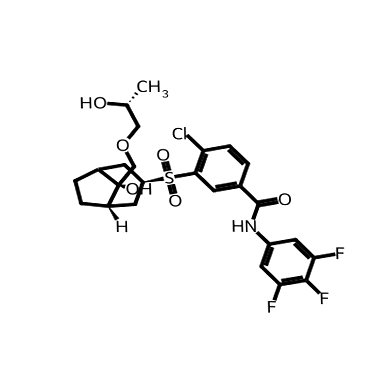 C[C@@H](O)COC[C@@]1(O)C2CC[C@H]1C[C@H](S(=O)(=O)c1cc(C(=O)Nc3cc(F)c(F)c(F)c3)ccc1Cl)C2